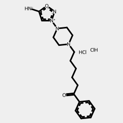 Cl.Cl.[NH-]c1c[n+](N2CCN(CCCCCC(=O)c3ccccc3)CC2)no1